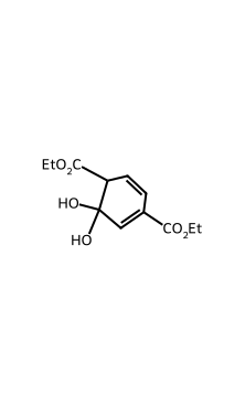 CCOC(=O)C1=CC(O)(O)C(C(=O)OCC)C=C1